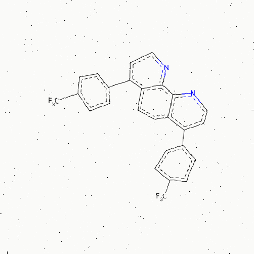 FC(F)(F)c1ccc(-c2ccnc3c2ccc2c(-c4ccc(C(F)(F)F)cc4)ccnc23)cc1